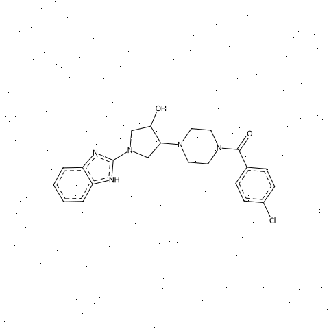 O=C(c1ccc(Cl)cc1)N1CCN(C2CN(c3nc4ccccc4[nH]3)CC2O)CC1